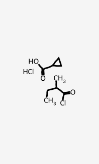 CCC(C)C(=O)Cl.Cl.O=C(O)C1CC1